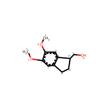 COc1cc2c(cc1OC)C(CO)CC2